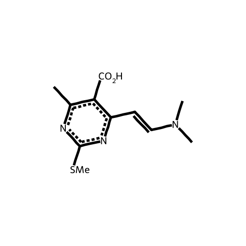 CSc1nc(C)c(C(=O)O)c(/C=C/N(C)C)n1